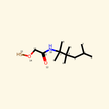 CC(C)CC(C)(C)C(C)(C)NC(=O)COS